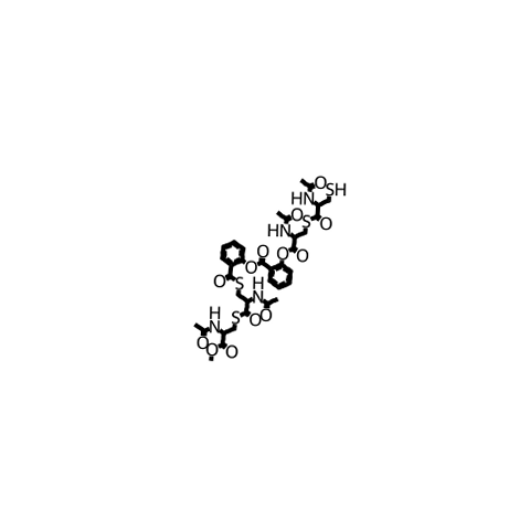 COC(=O)C(CSC(=O)C(CSC(=O)c1ccccc1OC(=O)c1ccccc1OC(=O)C(CSC(=O)C(CS)NC(C)=O)NC(C)=O)NC(C)=O)NC(C)=O